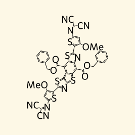 COc1cc(N=C(C#N)C#N)sc1-c1nc2c(C(=O)OCc3ccccc3)c3sc4nc(-c5sc(N=C(C#N)C#N)cc5OC)sc4c3c(C(=O)OCc3ccccc3)c2s1